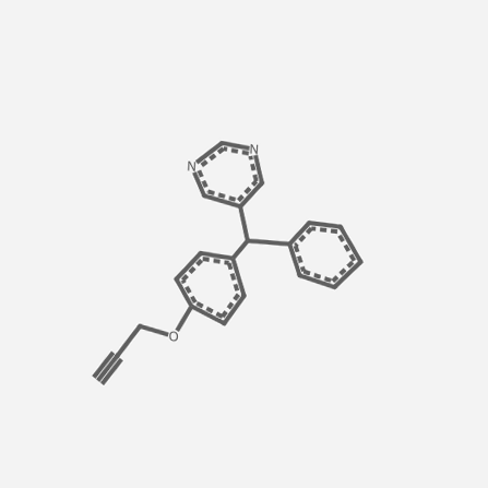 C#CCOc1ccc(C(c2ccccc2)c2cncnc2)cc1